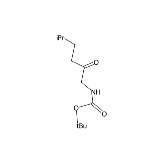 CC(C)CCC(=O)CNC(=O)OC(C)(C)C